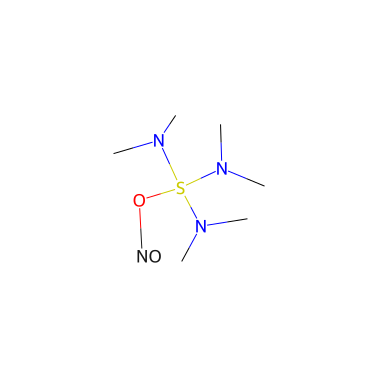 CN(C)S(ON=O)(N(C)C)N(C)C